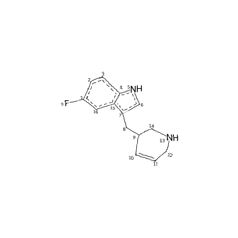 Fc1ccc2[nH]cc(CC3C=CCNC3)c2c1